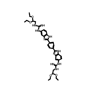 CCOC(CNC(=N)Nc1ccc2[nH]c(-c3ccc(-c4nc5cc(NC(=N)NCC(OCC)OCC)ccc5[nH]4)cc3)nc2c1)OCC